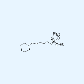 CCO[Si](CCCCCCC1CCCCC1)(OCC)OCC